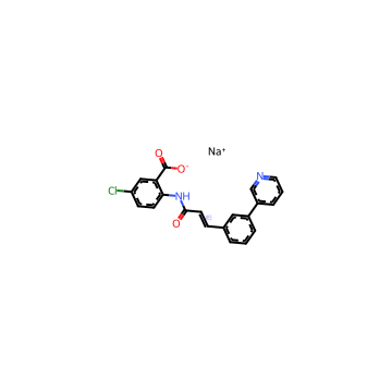 O=C(/C=C/c1cccc(-c2cccnc2)c1)Nc1ccc(Cl)cc1C(=O)[O-].[Na+]